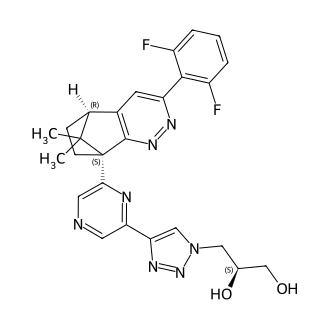 CC1(C)[C@H]2CC[C@]1(c1cncc(-c3cn(C[C@H](O)CO)nn3)n1)c1nnc(-c3c(F)cccc3F)cc12